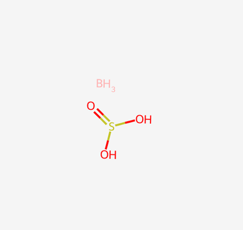 B.O=S(O)O